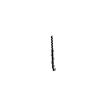 CCCCCCCCCCCCOCCOCCOCCOCCOCC1CO1